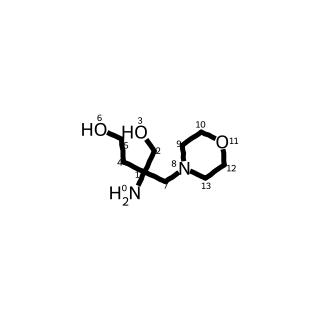 NC(CO)(CCO)CN1CCOCC1